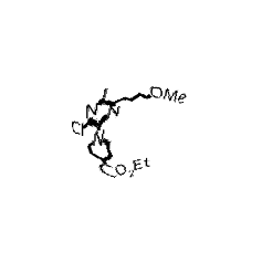 CCOC(=O)C1CCN(c2nc(CCCCOC)c(I)nc2Cl)CC1